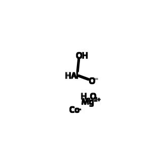 O.[Co].[Mg+2].[O-][AlH][OH]